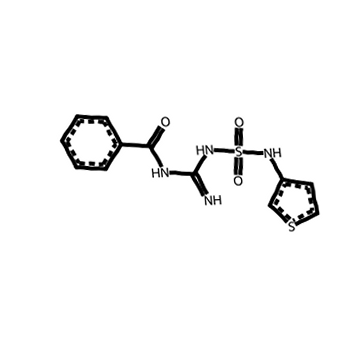 N=C(NC(=O)c1ccccc1)NS(=O)(=O)Nc1ccsc1